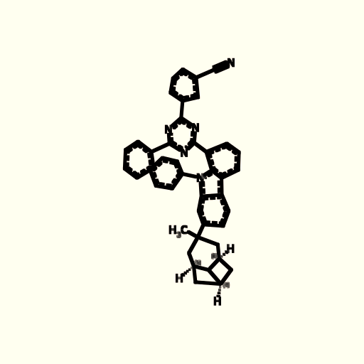 CC1(c2ccc3c4cccc(-c5nc(-c6ccccc6)nc(-c6cccc(C#N)c6)n5)c4n(-c4ccccc4)c3c2)C[C@H]2C[C@H]3C[C@@H](C1)C32